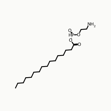 CCCCCCCCCCCCCCCC(=O)O[PH](=O)OCCN